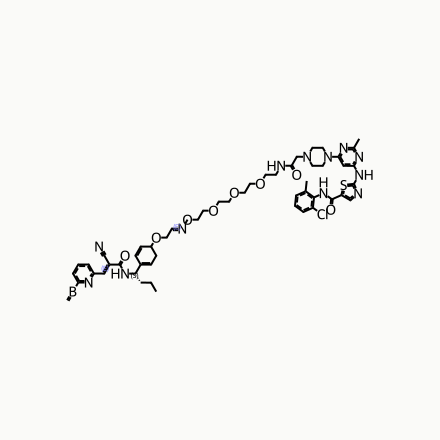 C=Bc1cccc(/C=C(\C#N)C(=O)N[C@@H](CCC)C2=CCC(OC/C=N/OCCOCCOCCOCCNC(=O)CN3CCN(c4cc(Nc5ncc(C(=O)Nc6c(C)cccc6Cl)s5)nc(C)n4)CC3)C=C2)n1